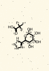 O=C(O)C(F)(F)F.O[C@@H]1[C@@H](O)[C@H](O)C(c2nnn[nH]2)O[C@H]1O